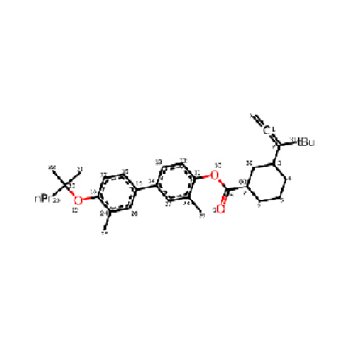 C=C=C(C1CCC[C@@H](C(=O)Oc2ccc(-c3ccc(OC(C)(C)CCC)c(C)c3)cc2C)C1)C(C)(C)C